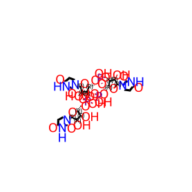 O=c1ccn([C@@H]2O[C@H](COP(=O)(O)O[C@H]3[C@@H](O)[C@H](n4ccc(=O)[nH]c4=O)O[C@@H]3COP(=O)(O)O[C@H]3[C@@H](O)[C@H](n4ccc(=O)[nH]c4=O)O[C@@H]3COP(O)O)[C@@H](O)[C@H]2O)c(=O)[nH]1